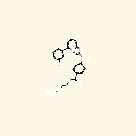 COCCNC(=O)c1ccc(Nc2nc3cccc(-c4cccc(Cl)c4)n3n2)cc1